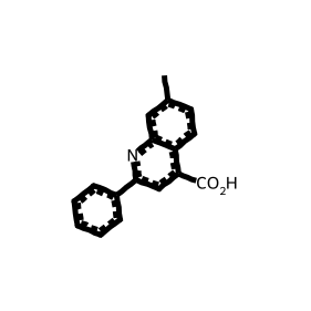 Cc1ccc2c(C(=O)O)cc(-c3ccccc3)nc2c1